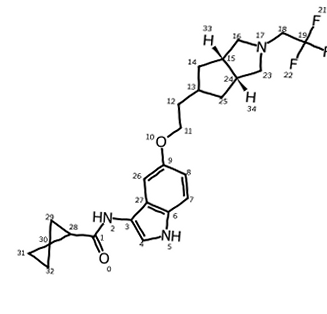 O=C(Nc1c[nH]c2ccc(OCCC3C[C@@H]4CN(CC(F)(F)F)C[C@@H]4C3)cc12)C1CC12CC2